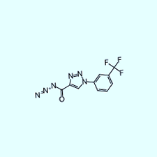 [N-]=[N+]=NC(=O)c1cn(-c2cccc(C(F)(F)F)c2)nn1